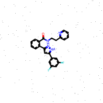 O=C(NCCc1ccccn1)c1ccccc1-c1cc(-c2cc(F)cc(F)c2)[nH]n1